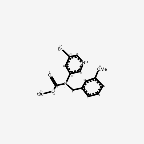 COc1cccc(CN(C(=O)OC(C)(C)C)c2cncc(Br)c2)c1